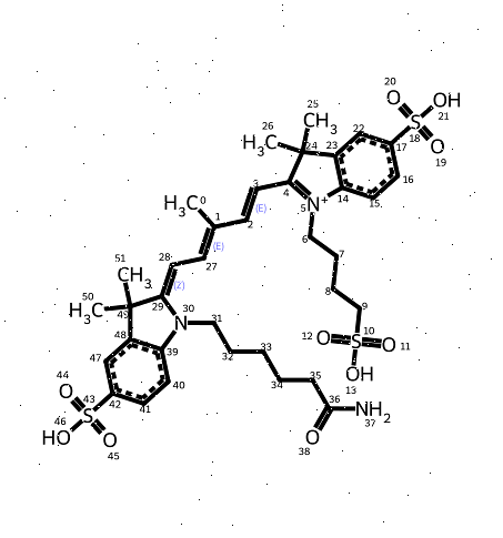 CC(/C=C/C1=[N+](CCCCS(=O)(=O)O)c2ccc(S(=O)(=O)O)cc2C1(C)C)=C\C=C1/N(CCCCCC(N)=O)c2ccc(S(=O)(=O)O)cc2C1(C)C